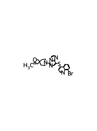 C[C@H]1CC2(CCN(c3ncc(Sc4ccnc5c(Br)cccc45)c4nccn34)CC2)CO1